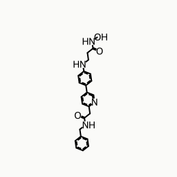 O=C(CCNc1ccc(-c2ccc(CC(=O)NCc3ccccc3)nc2)cc1)NO